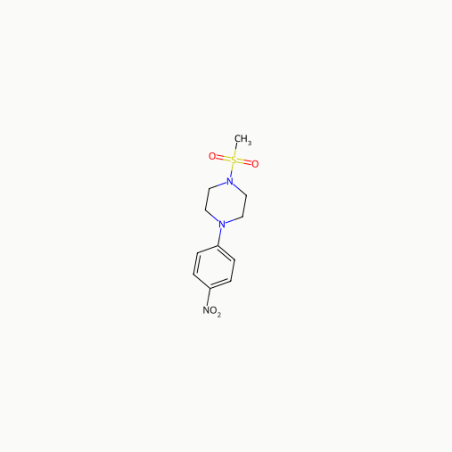 CS(=O)(=O)N1CCN(c2ccc([N+](=O)[O-])cc2)CC1